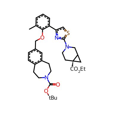 CCOC(=O)[C@@]12CCN(c3nc(-c4cccc(C)c4OCc4ccc5c(c4)CCN(C(=O)OC(C)(C)C)CC5)cs3)CC1C2